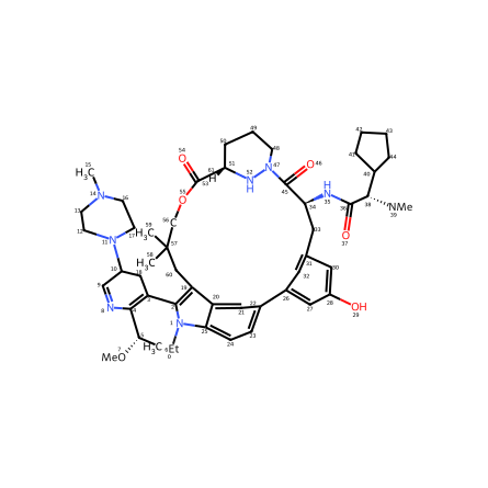 CCn1c(C2=C([C@H](C)OC)N=CC(N3CCN(C)CC3)C2)c2c3cc(ccc31)-c1cc(O)cc(c1)C[C@H](NC(=O)[C@@H](NC)C1CCCC1)C(=O)N1CCC[C@H](N1)C(=O)OCC(C)(C)C2